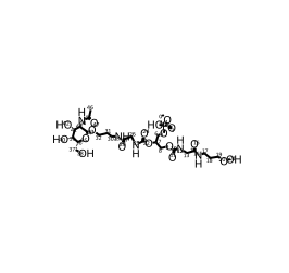 COP(=O)(O)OCC(COC(=O)NCC(=O)NCCCOO)OC(=O)NCC(=O)NCCCO[C@@H]1O[C@H](CO)[C@H](O)[C@H](O)[C@H]1NC(C)=O